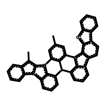 Cc1cc2c3c(c1)-n1c4c(cccc4n4c5ccccc5c(C)c14)B3c1cccc3c4ccc5c6ccccc6oc5c4n-2c13